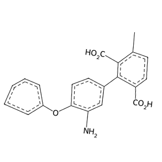 Cc1ccc(C(=O)O)c(-c2ccc(Oc3ccccc3)c(N)c2)c1C(=O)O